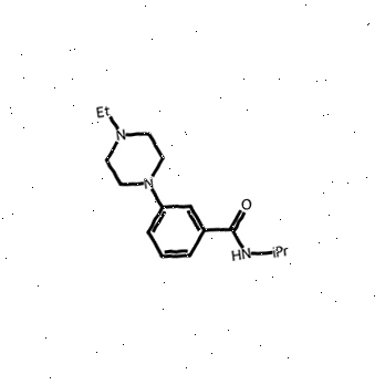 CCN1CCN(c2cccc(C(=O)NC(C)C)c2)CC1